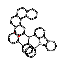 c1ccc(-c2ccccc2N(c2ccc3ccc4ccc5ccccc5c4c3c2)c2cccc3c4ccccc4n(-c4ccccc4)c23)cc1